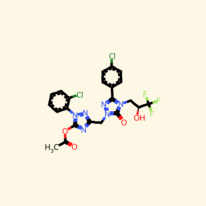 CC(=O)Oc1nc(Cn2nc(-c3ccc(Cl)cc3)n(C[C@H](O)C(F)(F)F)c2=O)nn1-c1ccccc1Cl